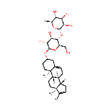 CC(=O)C1=CC[C@H]2[C@@H]3CC=C4C[C@@H](O[C@@H]5O[C@H](CO)[C@@H](O[C@@H]6O[C@@H](C)[C@H](O)[C@@H](O)[C@H]6O)[C@H](O)[C@H]5O)CC[C@]4(C)[C@H]3CC[C@]12C